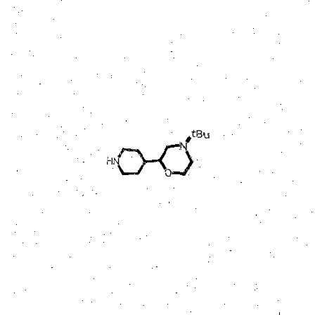 CC(C)(C)N1CCOC(C2CCNCC2)C1